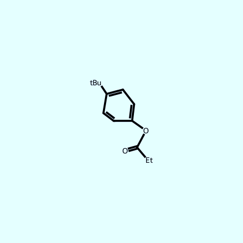 CCC(=O)Oc1ccc(C(C)(C)C)cc1